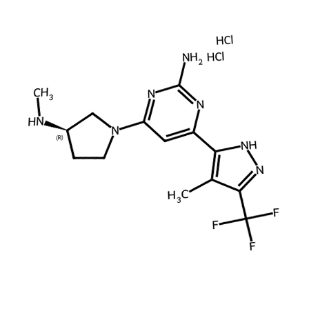 CN[C@@H]1CCN(c2cc(-c3[nH]nc(C(F)(F)F)c3C)nc(N)n2)C1.Cl.Cl